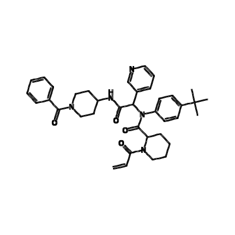 C=CC(=O)N1CCCCC1C(=O)N(c1ccc(C(C)(C)C)cc1)C(C(=O)NC1CCN(C(=O)c2ccccc2)CC1)c1cccnc1